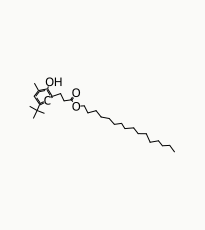 CCCCCCCCCCCCCCCCOC(=O)CCc1cc(C(C)(C)C)cc(C)c1O